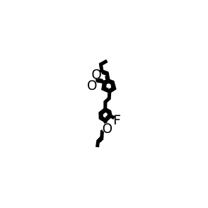 C/C=C/COc1ccc(CCc2ccc3cc(CC)oc(=O)c3c2)cc1F